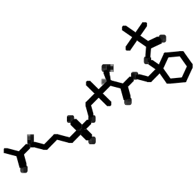 CC(=O)NCCCS(=O)(=O)OCC(C)(C)[C@@H](O)C(=O)OCC1(OC(=O)C(C)(C)C)CCCCC1